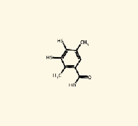 Cc1cc(C(=O)O)c(C)c(S)c1S